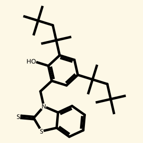 CC(C)(C)CC(C)(C)c1cc(Cn2c(=S)sc3ccccc32)c(O)c(C(C)(C)CC(C)(C)C)c1